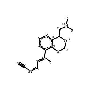 C#C/N=C\C=C(/C)c1cccc2c1CCO[C@@H]2CN(C)C